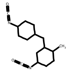 CC1CCC(N=C=O)CC1CC1CCC(N=C=O)CC1